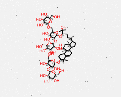 C[C@H](CC[C@@H](O[C@@H]1O[C@H](CO[C@@H]2O[C@H](CO)[C@@H](O)[C@H](O)[C@H]2O)[C@@H](O)[C@H](O)[C@H]1O[C@H]1O[C@@H](CO)[C@H](O)[C@@H](O)[C@@H]1O)C(C)(C)O)C1CC[C@@]2(C)C3CC=C4C(CC[C@H](O[C@@H]5O[C@H](CO)[C@@H](O)[C@H](O[C@@H]6O[C@H](CO)[C@@H](O)[C@H](O)[C@H]6O)[C@H]5O)C4(C)C)[C@]3(C)[C@H](O)C[C@]12C